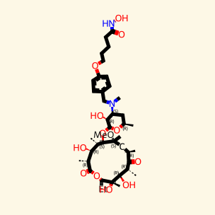 CCC1OC(=O)[C@H](C)[C@H](O)[C@H](C)[C@@H](OC2O[C@H](C)C[C@H](N(C)Cc3ccc(OCCCCC(=O)NO)cc3)[C@H]2O)[C@@](C)(OC)C[C@@H](C)C(=O)[C@H](C)[C@@H](O)[C@]1(C)O